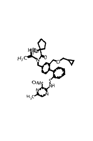 C=C(CCCC)N(Cc1ccc(-c2ccccc2SNc2ncc(C)nc2OC)c(COCC2CC2)c1)C(=O)C1(C)CCCC1